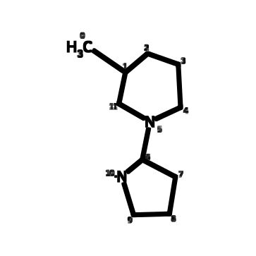 CC1CCCN(C2CCC[N]2)C1